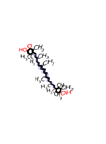 C=C1C(O)=CC(C)(C)C(/C=C/C(C)=C/C=C/C(C)=C/C=C/C=C(C)/C=C/C=C(C)/C=C/C2=C(C)C(=O)C(O)=CC2(C)C)=C1C